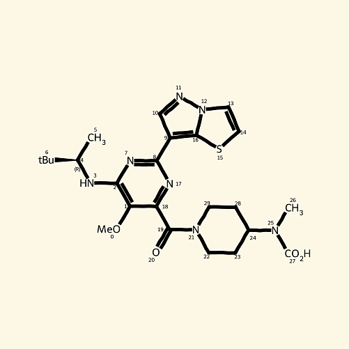 COc1c(N[C@H](C)C(C)(C)C)nc(-c2cnn3ccsc23)nc1C(=O)N1CCC(N(C)C(=O)O)CC1